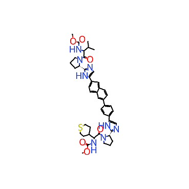 COC(=O)NC(C(=O)N1CCC[C@H]1c1ncc(-c2ccc3cc(-c4ccc(-c5cnc([C@@H]6CCCN6C(=O)C(NC(=O)OC)C6CCSCC6)[nH]5)cc4)ccc3c2)[nH]1)C(C)C